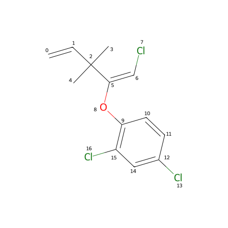 C=CC(C)(C)C(=CCl)Oc1ccc(Cl)cc1Cl